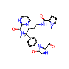 CN(C(=O)c1ncccn1)[C@@H](CCCNC(=O)c1cccn1C)c1ccccc1.O=CC1=NC(=O)C=N1